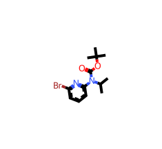 CC(C)N(C(=O)OC(C)(C)C)c1cccc(Br)n1